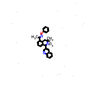 CC(=NOc1ccccc1)c1cccc2c1CC(C)(C)N=C2c1cnc2ccccc2c1